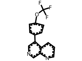 FC(F)(F)Oc1ccc(-c2cncc3ncccc23)cc1